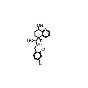 OC1CCC(F)(C(O)NCc2ccc(Cl)cc2Cl)c2cccnc21